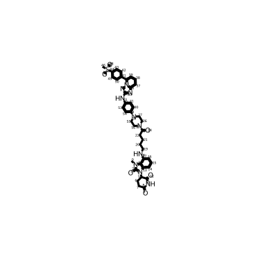 Cn1c(=O)n(C2CCC(=O)NC2=O)c2cccc(NCCCCC(=O)N3CCN(c4ccc(Nc5nc6cccc(-c7ccc(S(C)(=O)=O)cc7)n6n5)cc4)CC3)c21